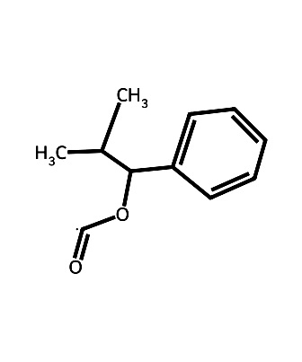 CC(C)C(O[C]=O)c1ccccc1